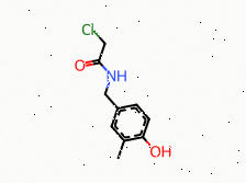 Cc1cc(CNC(=O)CCl)ccc1O